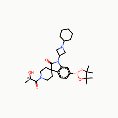 C[C@@H](O)C(=O)N1CCC2(CC1)C(=O)N(C1CN(C3CCCCC3)C1)c1cc(B3OC(C)(C)C(C)(C)O3)ccc12